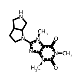 Cn1c(=O)c2c(nc(N3CCC4CNCC43)n2C)n(C)c1=O